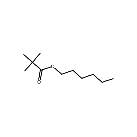 CCCCCCOC(=O)C(C)(C)C